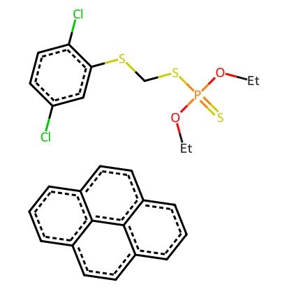 CCOP(=S)(OCC)SCSc1cc(Cl)ccc1Cl.c1cc2ccc3cccc4ccc(c1)c2c34